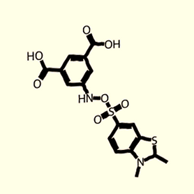 CC1Sc2cc(S(=O)(=O)ONc3cc(C(=O)O)cc(C(=O)O)c3)ccc2N1C